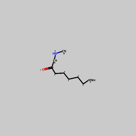 CCCCCCCCCCC[C](=O)[Co][NH]C#N